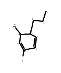 CCCC1C=CC(F)=CC1Cl